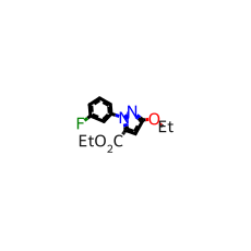 CCOC(=O)c1cc(OCC)nn1-c1cccc(F)c1